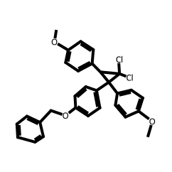 COc1ccc(C2C(Cl)(Cl)C2(c2ccc(OC)cc2)c2ccc(OCc3ccccc3)cc2)cc1